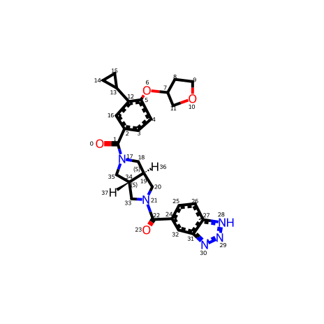 O=C(c1ccc(OC2CCOC2)c(C2CC2)c1)N1C[C@H]2CN(C(=O)c3ccc4[nH]nnc4c3)C[C@@H]2C1